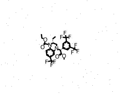 CCOC(=O)N1c2ccc(C(F)(F)F)cc2N([C@@H](C(=O)OC)c2cc(C(F)(F)F)cc(C(F)(F)F)c2)C[C@H]1CC